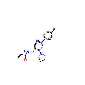 C=CC(=O)NCc1cnc(-c2ccc(F)cc2)cc1N1CCCC1